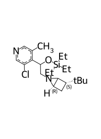 CC[Si](CC)(CC)OC(CN1C2[C@H]1C[C@H]2C(C)(C)C)c1c(C)cncc1Cl